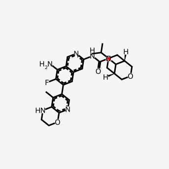 Cc1c(-c2cc3cc(NC(=O)OC4[C@@H]5COC[C@H]4CN(C(C)C)C5)ncc3c(N)c2F)cnc2c1NCCO2